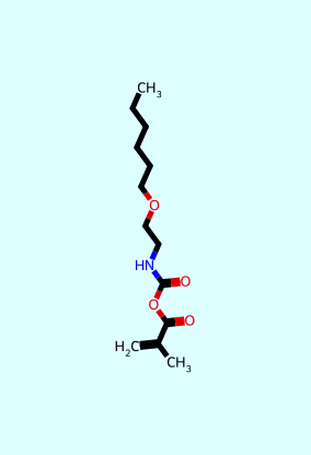 C=C(C)C(=O)OC(=O)NCCOCCCCCC